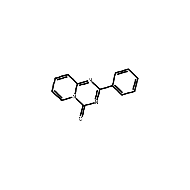 O=c1nc(-c2ccccc2)nc2ccccn12